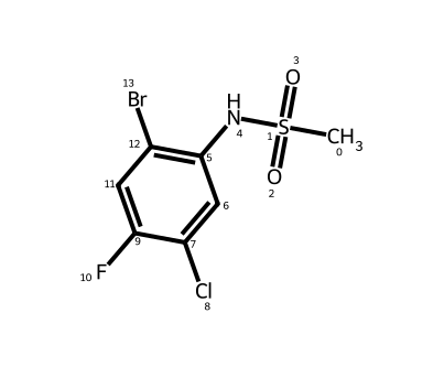 CS(=O)(=O)Nc1cc(Cl)c(F)cc1Br